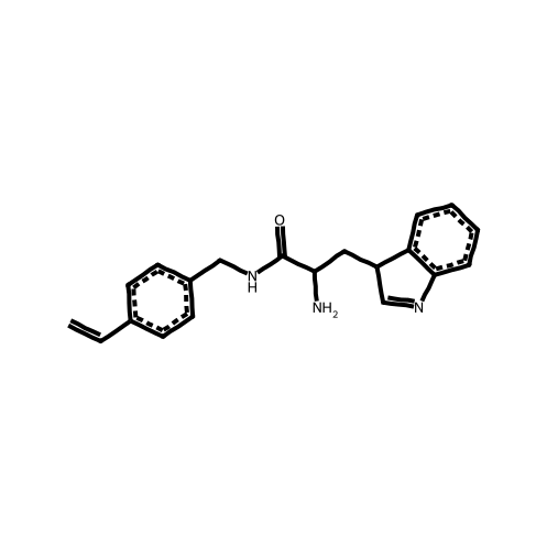 C=Cc1ccc(CNC(=O)C(N)CC2C=Nc3ccccc32)cc1